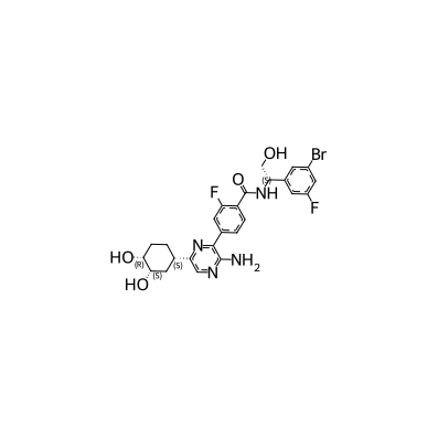 Nc1ncc([C@H]2CC[C@@H](O)[C@@H](O)C2)nc1-c1ccc(C(=O)N[C@H](CO)c2cc(F)cc(Br)c2)c(F)c1